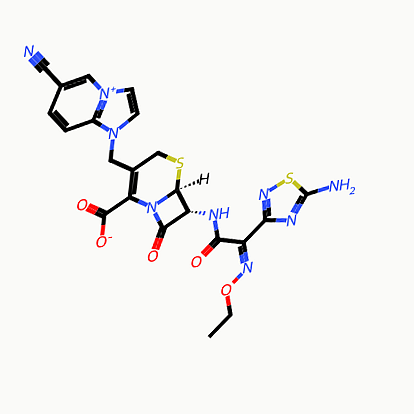 CCO/N=C(\C(=O)N[C@@H]1C(=O)N2C(C(=O)[O-])=C(Cn3cc[n+]4cc(C#N)ccc34)CS[C@@H]12)c1nsc(N)n1